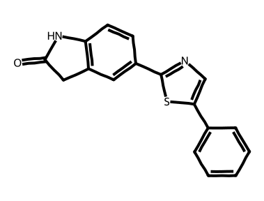 O=C1Cc2cc(-c3ncc(-c4ccccc4)s3)ccc2N1